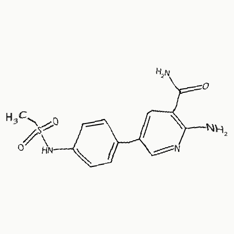 CS(=O)(=O)Nc1ccc(-c2cnc(N)c(C(N)=O)c2)cc1